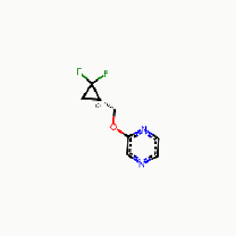 FC1(F)C[C@H]1COc1cnccn1